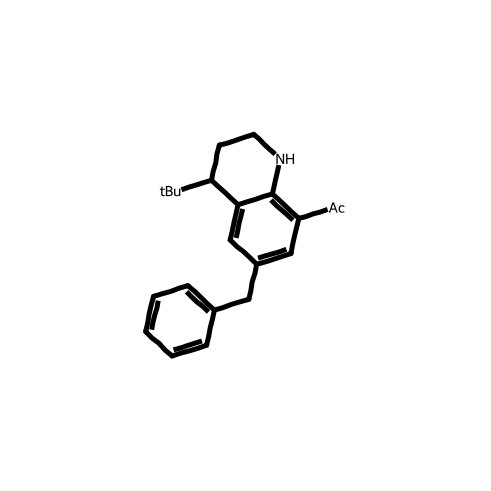 CC(=O)c1cc(Cc2ccccc2)cc2c1NCCC2C(C)(C)C